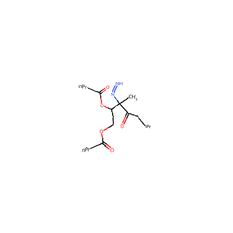 CCCC(=O)OCC(OC(=O)CCC)C(C)(N=N)C(=O)CC(C)C